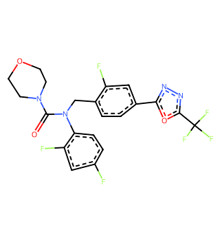 O=C(N1CCOCC1)N(Cc1ccc(-c2nnc(C(F)(F)F)o2)cc1F)c1ccc(F)cc1F